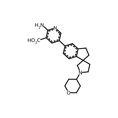 Nc1ncc(-c2ccc3c(c2)CCC32CCN(C3CCOCC3)C2)cc1C(=O)O